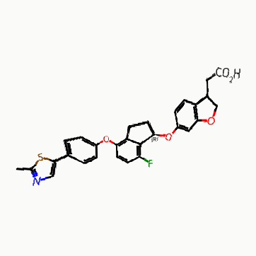 Cc1ncc(-c2ccc(Oc3ccc(F)c4c3CC[C@H]4Oc3ccc4c(c3)OCC4CC(=O)O)cc2)s1